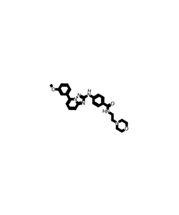 COc1cccc(-c2cccc3nc(Nc4ccc(C(=O)NCCN5CCOCC5)cc4)nn23)c1